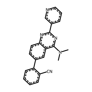 CN(C)c1nc(-c2cccnc2)nc2ccc(-c3ccccc3C#N)cc12